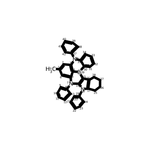 Cc1cc2c3c(c1)N(c1ccccc1)c1c(c4c(n1-c1ccccc1)CCCC4)B3c1ccccc1N2c1ccccc1